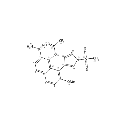 COc1ccc2ccc(C(=N)N)c(OC(=O)C(F)(F)F)c2c1-c1cnn(S(C)(=O)=O)c1